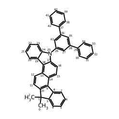 CC1(C)c2ccccc2-c2c1ccc1c2ccc2c1c1ccccc1n2-c1cc(-c2ccccc2)cc(-c2ccccc2)c1